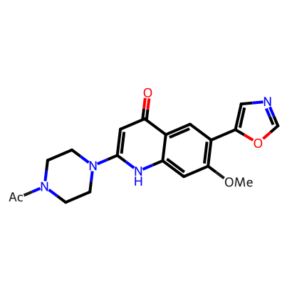 COc1cc2[nH]c(N3CCN(C(C)=O)CC3)cc(=O)c2cc1-c1cnco1